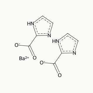 O=C([O-])c1ncc[nH]1.O=C([O-])c1ncc[nH]1.[Ba+2]